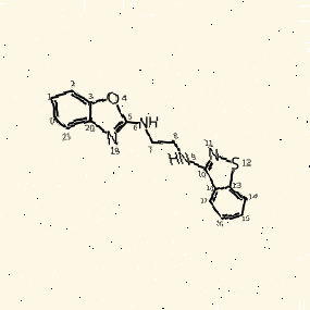 c1ccc2oc(NCCNc3nsc4ccccc34)nc2c1